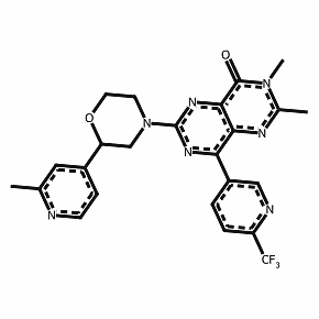 Cc1cc(C2CN(c3nc(-c4ccc(C(F)(F)F)nc4)c4nc(C)n(C)c(=O)c4n3)CCO2)ccn1